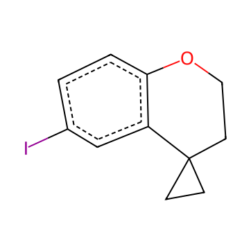 Ic1ccc2c(c1)C1(CCO2)CC1